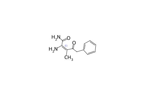 C/C(C(=O)Cc1ccccc1)=C(\N)C(N)=O